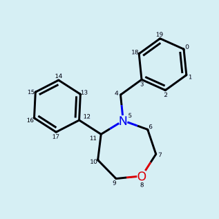 c1ccc(CN2CCOCCC2c2ccccc2)cc1